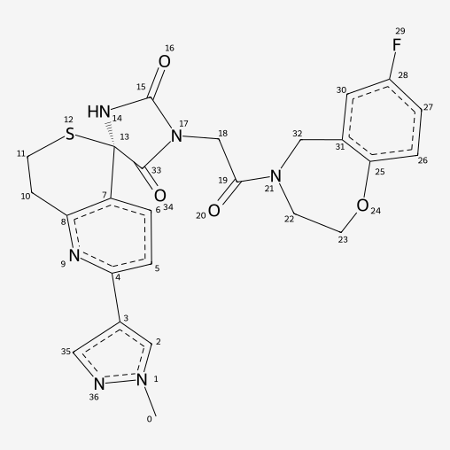 Cn1cc(-c2ccc3c(n2)CCS[C@]32NC(=O)N(CC(=O)N3CCOc4ccc(F)cc4C3)C2=O)cn1